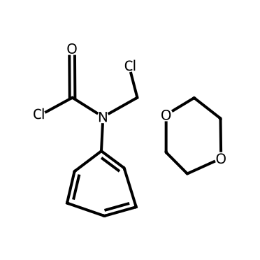 C1COCCO1.O=C(Cl)N(CCl)c1ccccc1